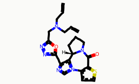 C=CCN(CC=C)Cc1nnc(-c2ncn3c2[C@@H]2CCCN2C(=O)c2sccc2-3)o1